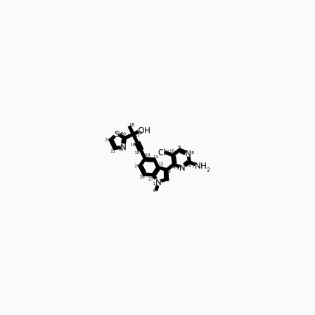 Cn1cc(-c2nc(N)ncc2Cl)c2cc(C#CC(C)(O)c3nccs3)ccc21